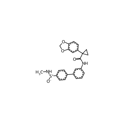 CN[S+]([O-])c1ccc(-c2cccc(NC(=O)C3(c4ccc5c(c4)OCO5)CC3)c2)cc1